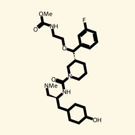 CNC[C@H](CC1CCC(O)CC1)NC(=O)N1CCC[C@@H](C(OCCNC(=O)OC)c2cccc(F)c2)C1